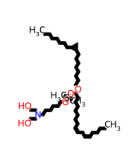 CCCCC/C=C\C/C=C\CCCCCCCC(OCCCCCCCCC1CC1CCCCCCCC)O[Si](C)(C)OCCCCCCN(CCO)CCO